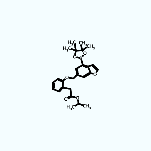 CC(C)OC(=O)Cc1ccccc1OCc1cc(B2OC(C)(C)C(C)(C)O2)c2ccoc2c1